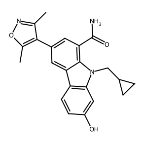 Cc1noc(C)c1-c1cc(C(N)=O)c2c(c1)c1ccc(O)cc1n2CC1CC1